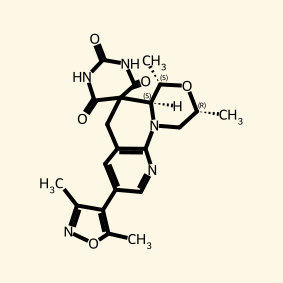 Cc1noc(C)c1-c1cnc2c(c1)CC1(C(=O)NC(=O)NC1=O)[C@H]1[C@H](C)O[C@H](C)CN21